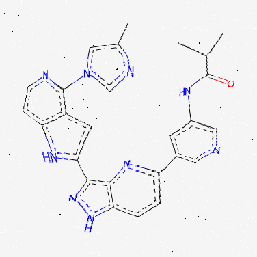 Cc1cn(-c2nccc3[nH]c(-c4n[nH]c5ccc(-c6cncc(NC(=O)C(C)C)c6)nc45)cc23)cn1